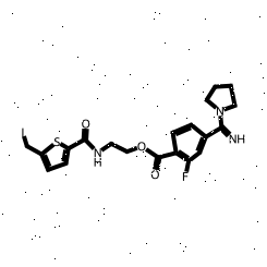 N=C(c1ccc(C(=O)OCCNC(=O)c2ccc(CI)s2)c(F)c1)N1CCCC1